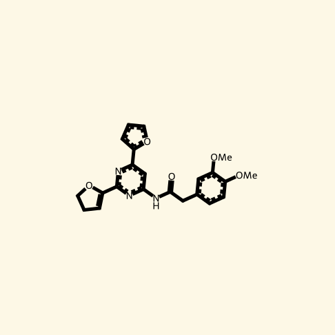 COc1ccc(CC(=O)Nc2cc(-c3ccco3)nc(C3=CCCO3)n2)cc1OC